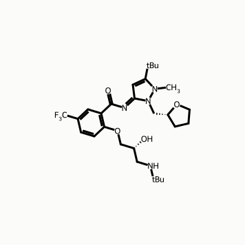 Cn1c(C(C)(C)C)cc(=NC(=O)c2cc(C(F)(F)F)ccc2OC[C@H](O)CNC(C)(C)C)n1C[C@H]1CCCO1